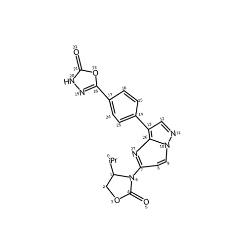 CC(C)C1COC(=O)N1c1ccn2ncc(-c3ccc(-c4n[nH]c(=O)o4)cc3)c2n1